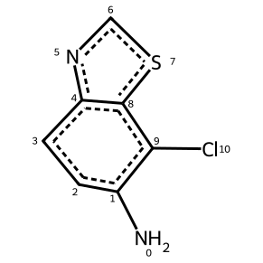 Nc1ccc2ncsc2c1Cl